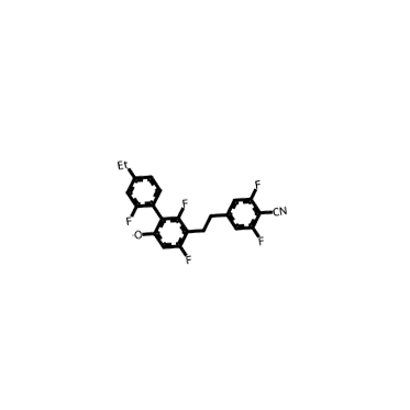 CCc1ccc(-c2c([O])cc(F)c(CCc3cc(F)c(C#N)c(F)c3)c2F)c(F)c1